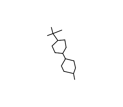 CC1CC[C](C2CCC(C(C)(C)C)CC2)CC1